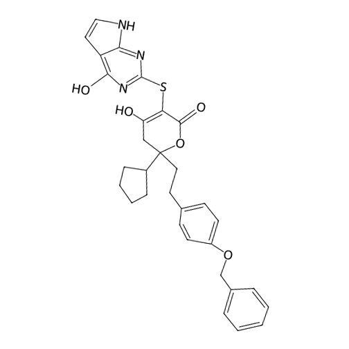 O=C1OC(CCc2ccc(OCc3ccccc3)cc2)(C2CCCC2)CC(O)=C1Sc1nc(O)c2cc[nH]c2n1